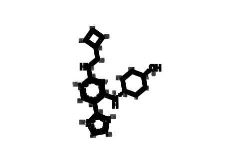 O[C@H]1CC[C@H](Nc2nc(NCC3CCC3)ncc2-c2nccs2)CC1